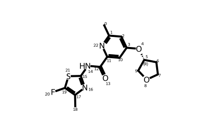 Cc1cc(O[C@@H]2CCOC2)cc(C(=O)Nc2nc(C)c(F)s2)n1